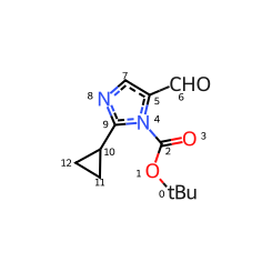 CC(C)(C)OC(=O)n1c(C=O)cnc1C1CC1